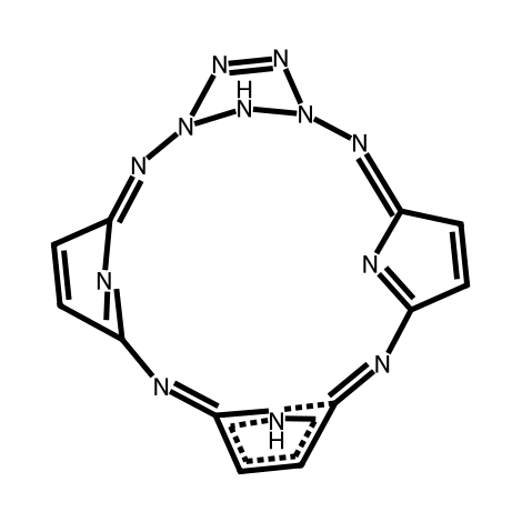 C1=CC2=NN3N=NN(N=C4C=CC(=N4)N=c4ccc([nH]4)=NC1=N2)N3